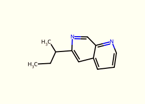 CCC(C)c1cc2cccnc2cn1